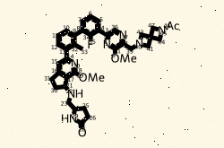 COc1nc(-c2cccc(-c3cccc(-c4cc5c(c(OC)n4)C(NCC4CCC(=O)N4)CC5)c3C)c2F)cnc1CN1CC2(C1)CN(C(C)=O)C2